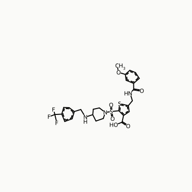 COc1cccc(C(=O)NCc2cc(C(=O)O)c(S(=O)(=O)N3CCC(NCc4ccc(C(F)(F)F)cc4)CC3)s2)c1